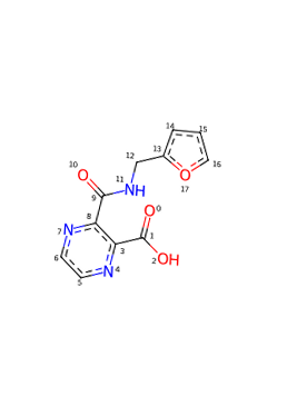 O=C(O)c1nccnc1C(=O)NCc1ccco1